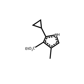 CCOC(=O)c1c(C)c[nH]c1C1CC1